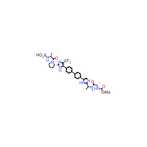 COC(=O)N[C@@H](C)C(=O)N(C)C(C)c1ncc(-c2ccc(-c3ccc(-c4[nH]c([C@@H]5CCCN5C(=O)[C@H](C)NC(=O)O)nc4C(F)(F)F)cc3)cc2)[nH]1